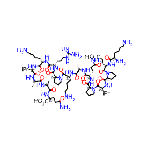 CC(C)[C@H](NC(=O)[C@@H]1CCCN1C(=O)[C@H](CCC(=O)O)NC(=O)[C@@H](N)CCCCN)C(=O)N1CCC[C@H]1C(=O)N[C@@H](CCC(N)=O)C(=O)N[C@@H](C)C(=O)N[C@@H](CCCCN)C(=O)N1CCC[C@H]1C(=O)N[C@@H](CCCNC(=N)N)C(=O)N[C@@H](CCCCN)C(=O)N[C@@H](C(=O)N[C@@H](C)C(=O)N[C@@H](C)C(=O)N[C@@H](CCC(N)=O)C(=O)O)C(C)C